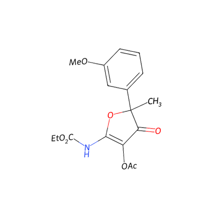 CCOC(=O)NC1=C(OC(C)=O)C(=O)C(C)(c2cccc(OC)c2)O1